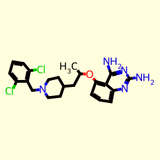 CC(CC1CCN(Cc2c(Cl)cccc2Cl)CC1)Oc1cccc2nc(N)nc(N)c12